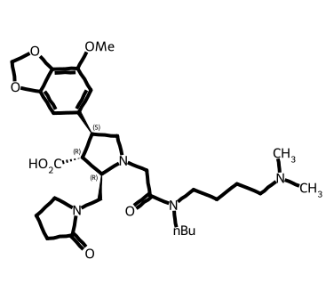 CCCCN(CCCCN(C)C)C(=O)CN1C[C@H](c2cc(OC)c3c(c2)OCO3)[C@@H](C(=O)O)[C@@H]1CN1CCCC1=O